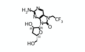 Nc1ncc2c(n1)n([C@@H]1O[C@H](CO)C[C@H]1O)c(=O)n2CC(F)(F)F